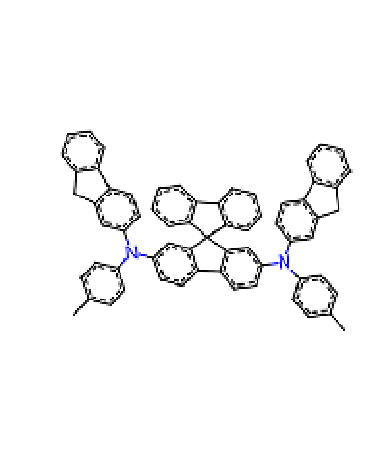 Cc1ccc(N(c2ccc3c(c2)Cc2ccccc2-3)c2ccc3c(c2)C2(c4ccccc4-c4ccccc42)c2cc(N(c4ccc(C)cc4)c4ccc5c(c4)Cc4ccccc4-5)ccc2-3)cc1